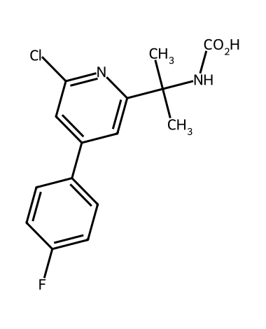 CC(C)(NC(=O)O)c1cc(-c2ccc(F)cc2)cc(Cl)n1